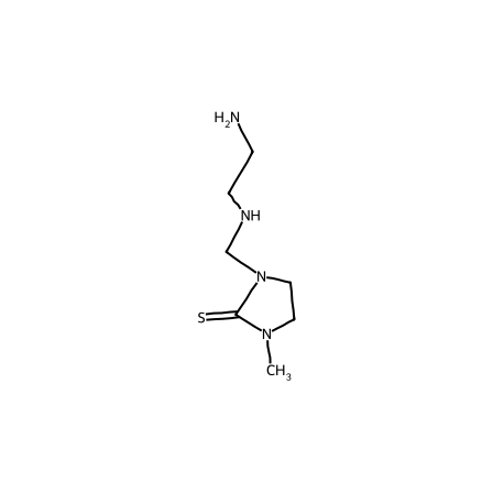 CN1CCN(CNCCN)C1=S